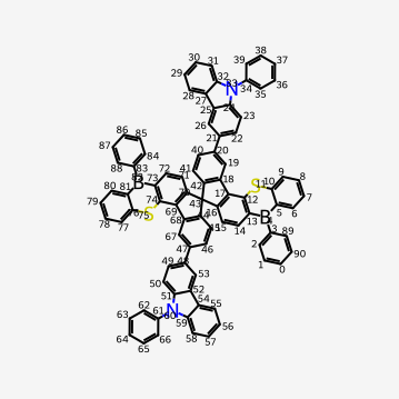 c1ccc(B2c3ccccc3Sc3c2ccc2c3-c3cc(-c4ccc5c(c4)c4ccccc4n5-c4ccccc4)ccc3C23c2ccc(-c4ccc5c(c4)c4ccccc4n5-c4ccccc4)cc2-c2c3ccc3c2Sc2ccccc2B3c2ccccc2)cc1